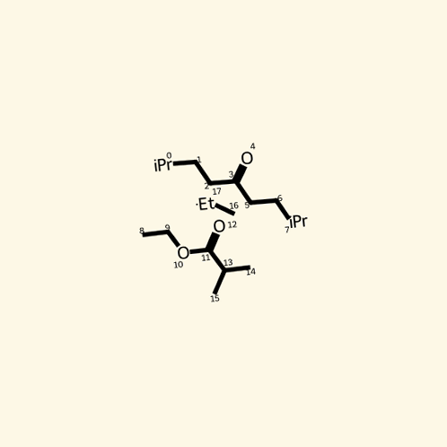 CC(C)CCC(=O)CCC(C)C.CCOC(=O)C(C)C.C[CH]C